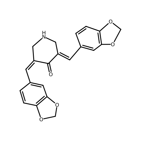 O=C1C(=Cc2ccc3c(c2)OCO3)CNCC1=Cc1ccc2c(c1)OCO2